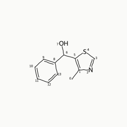 Cc1ncsc1C(O)c1ccccc1